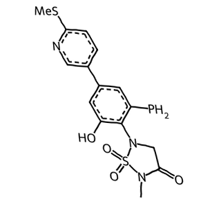 CSc1ccc(-c2cc(O)c(N3CC(=O)N(C)S3(=O)=O)c(P)c2)cn1